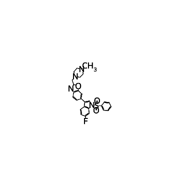 CN1CCN(Cc2nc3ccc(-c4cn(S(=O)(=O)c5ccccc5)c5cc(F)ccc45)cc3o2)CC1